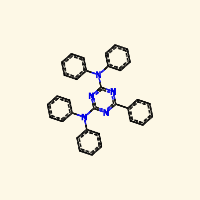 c1ccc(-c2nc(N(c3ccccc3)c3ccccc3)nc(N(c3ccccc3)c3ccccc3)n2)cc1